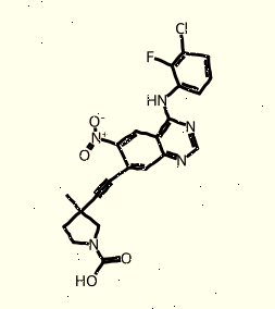 CC1(C#Cc2cc3ncnc(Nc4cccc(Cl)c4F)c3cc2[N+](=O)[O-])CCN(C(=O)O)C1